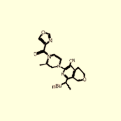 CCCCC(C)c1nc(N2CCN(C(=O)c3cocn3)[C@H](C)C2)c(C#N)c2c1COCC2